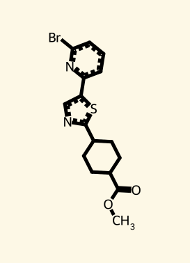 COC(=O)C1CCC(c2ncc(-c3cccc(Br)n3)s2)CC1